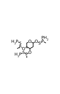 CP(P)SOC1CC(OP(C)SP)[C@H](OP(C)SP)CO1